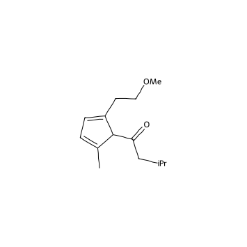 COCCC1=CC=C(C)C1C(=O)CC(C)C